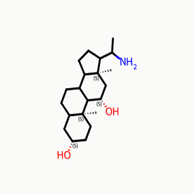 CC(N)C1CCC2C3CCC4C[C@@H](O)CC[C@]4(C)C3[C@@H](O)C[C@]12C